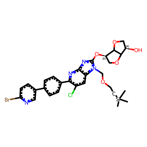 C[Si](C)(C)CCOCn1c(O[C@@H]2COC3C2OC[C@H]3O)nc2nc(-c3ccc(-c4ccc(Br)nc4)cc3)c(Cl)cc21